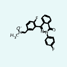 C/[N+]([O-])=C/c1ccc(F)c(-c2nn(-c3ccc(F)cc3)c(=O)c3ccccc23)c1